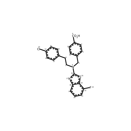 O=C(O)c1ccc(CN(CCc2ccc(Cl)cc2)c2nc3cccc(F)c3s2)cc1